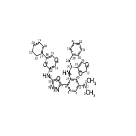 CN(C)c1ccc(-c2nnc(NC3=COC=C(C4=CC=CCC4)O3)o2)c(NC(Cc2ccccc2)C2=COCO2)c1